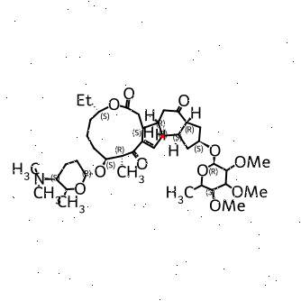 CC[C@H]1CCC[C@H](O[C@H]2CC[C@H](N(C)C)C(C)O2)[C@@H](C)C(=O)C2=C[C@@H]3[C@@H](CC(=O)[C@@H]4C[C@@H](O[C@@H]5OC(C)[C@H](OC)C(OC)C5OC)C[C@@H]34)[C@@H]2CC(=O)O1